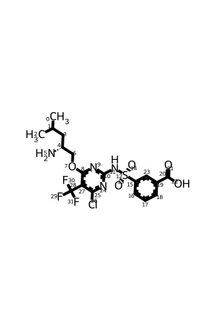 CC(C)C[C@@H](N)COc1nc(NS(=O)(=O)c2cccc(C(=O)O)c2)nc(Cl)c1C(F)(F)F